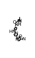 Cc1cc(C(=O)NC[C@H]2CC[C@@H](Nc3ccc(-n4nccc(C#N)c4=O)cn3)C2)on1